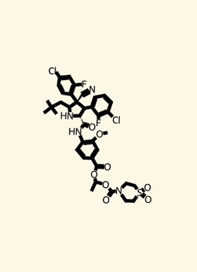 COc1cc(C(=O)OC(C)OC(=O)N2CCS(=O)(=O)CC2)ccc1NC(=O)[C@@H]1NC(CC(C)(C)C)[C@](C#N)(c2ccc(Cl)cc2F)C1c1cccc(Cl)c1F